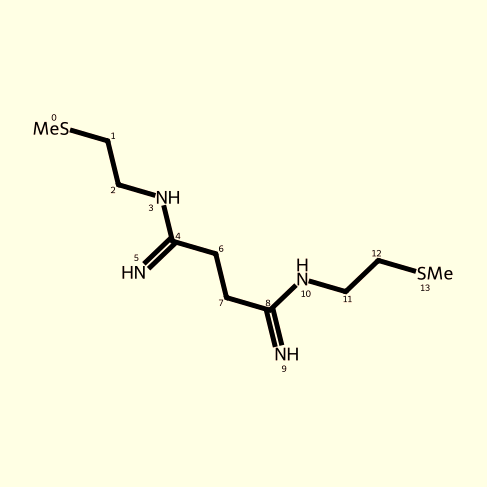 CSCCNC(=N)CCC(=N)NCCSC